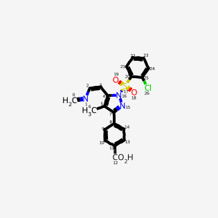 C=N/C=C\c1c(C)c(-c2ccc(C(=O)O)cc2)nn1S(=O)(=O)c1ccccc1Cl